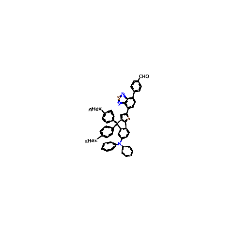 CCCCCCc1ccc(C2(c3ccc(CCCCCC)cc3)c3cc(N(c4ccccc4)c4ccccc4)ccc3-c3sc(-c4ccc(-c5ccc(C=O)cc5)c5nsnc45)cc32)cc1